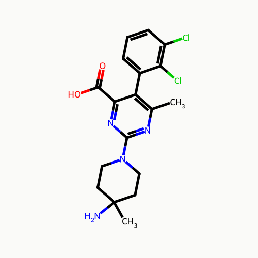 Cc1nc(N2CCC(C)(N)CC2)nc(C(=O)O)c1-c1cccc(Cl)c1Cl